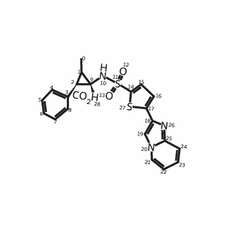 CC1[C@H](c2ccccc2)[C@]1(NS(=O)(=O)c1ccc(-c2cn3ccccc3n2)s1)C(=O)O